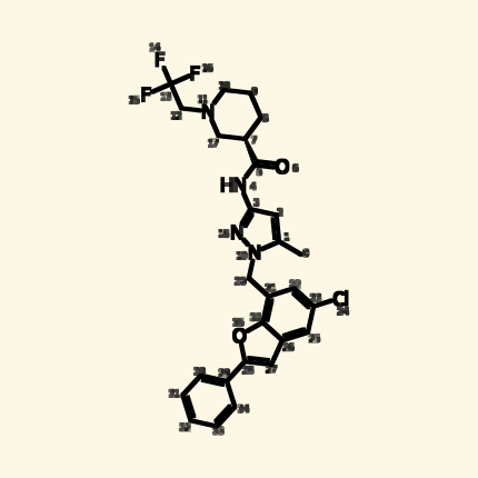 Cc1cc(NC(=O)[C@@H]2CCCN(CC(F)(F)F)C2)nn1Cc1cc(Cl)cc2cc(-c3ccccc3)oc12